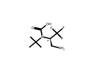 CC(C)(C)N(C(=O)O)[C@H](CN)C(F)(F)F